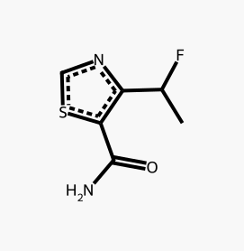 CC(F)c1ncsc1C(N)=O